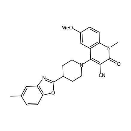 COc1ccc2c(c1)c(N1CCC(c3nc4cc(C)ccc4o3)CC1)c(C#N)c(=O)n2C